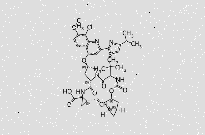 C=C[C@@H]1C[C@]1(NC(=O)[C@@H]1C[C@@H](Oc2cc(-c3nc(C(C)C)cs3)nc3c(Cl)c(OC)ccc23)CN1C(=O)C(NC(=O)O[C@@H]1C[C@@H]2C[C@@H]2C1)C(C)(C)C)C(=O)O